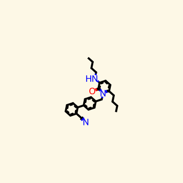 CCCCNc1ccc(CCCC)n(Cc2ccc(-c3ccccc3C#N)cc2)c1=O